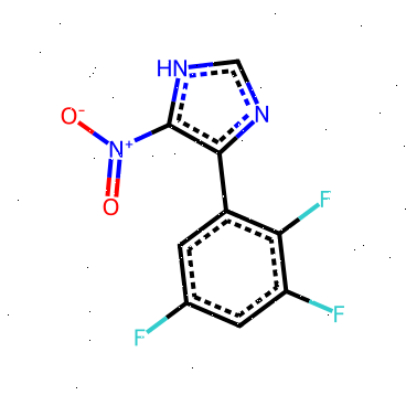 O=[N+]([O-])c1[nH]cnc1-c1cc(F)cc(F)c1F